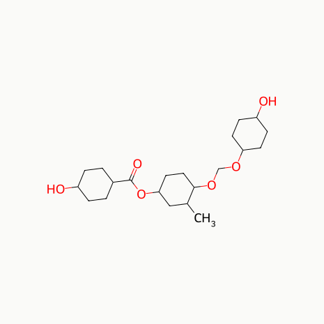 CC1CC(OC(=O)C2CCC(O)CC2)CCC1OCOC1CCC(O)CC1